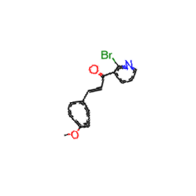 COc1ccc(C=CC(=O)c2cccnc2Br)cc1